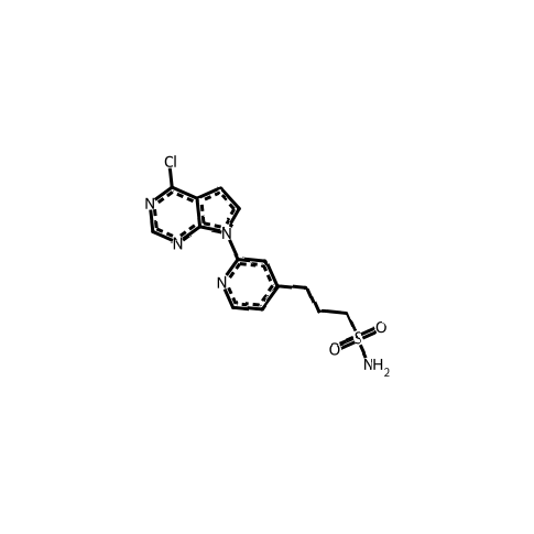 NS(=O)(=O)CCCc1ccnc(-n2ccc3c(Cl)ncnc32)c1